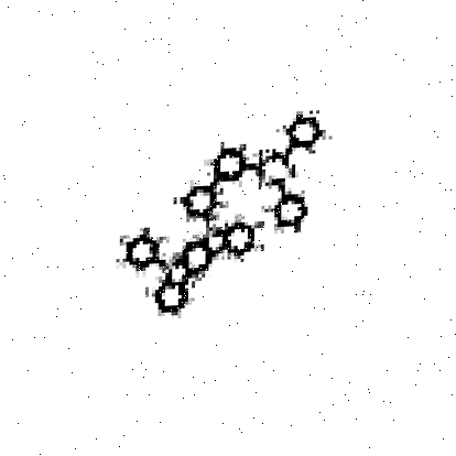 c1ccc(C2=NC(c3cccc(-c4cccc(-n5c6ccccc6c6cc7c8ccccc8n(-c8ccccc8)c7cc65)c4)c3)NC(c3ccccc3)=N2)cc1